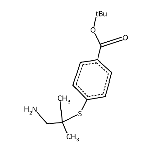 CC(C)(C)OC(=O)c1ccc(SC(C)(C)CN)cc1